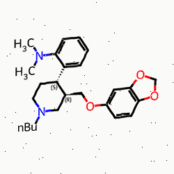 CCCCN1CC[C@H](c2ccccc2N(C)C)[C@@H](COc2ccc3c(c2)OCO3)C1